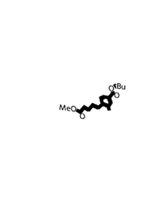 COC(=O)C=CC=Cc1ccc(C(=O)OC(C)(C)C)cc1C